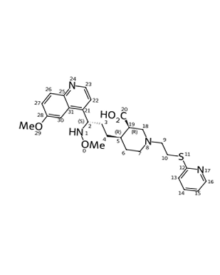 CON[C@@H](CC[C@@H]1CCN(CCSc2ccccn2)C[C@@H]1C(=O)O)c1ccnc2ccc(OC)cc12